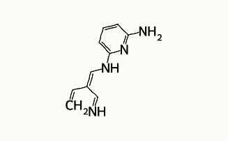 C=C/C(C=N)=C/Nc1cccc(N)n1